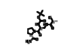 C[C@@H](Cl)C(=O)NC[C@H](NC(=O)OC(C)(C)C)C(=O)N1CCC[C@H]1C(N)=O